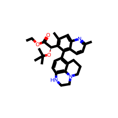 CCOC(=O)[C@@H](OC(C)(C)C)c1c(C)cc2nc(C)ccc2c1-c1ccc2c3c1CCCN3CCN2